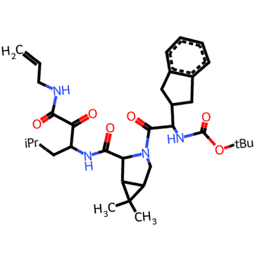 C=CCNC(=O)C(=O)C(CC(C)C)NC(=O)C1C2C(CN1C(=O)C(NC(=O)OC(C)(C)C)C1Cc3ccccc3C1)C2(C)C